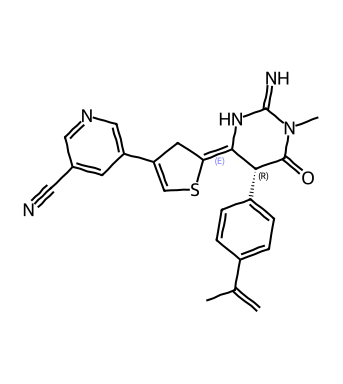 C=C(C)c1ccc([C@H]2C(=O)N(C)C(=N)N/C2=C2\CC(c3cncc(C#N)c3)=CS2)cc1